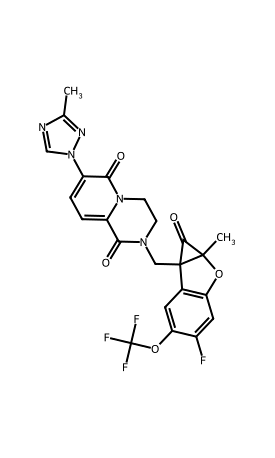 Cc1ncn(-c2ccc3n(c2=O)CCN(CC24C(=O)C2(C)Oc2cc(F)c(OC(F)(F)F)cc24)C3=O)n1